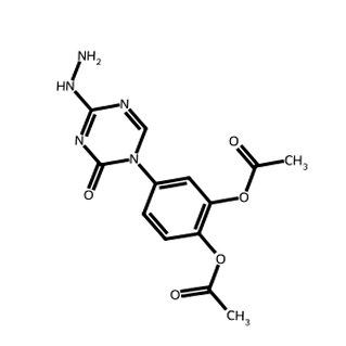 CC(=O)Oc1ccc(-n2cnc(NN)nc2=O)cc1OC(C)=O